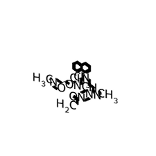 C=CC(=O)N1CCN(/C(CCCN(CC(=C)/N=C(\C)OC[C@H]2CN(C)CCO2)c2cccc3cccc(Cl)c23)=N/C)CC1